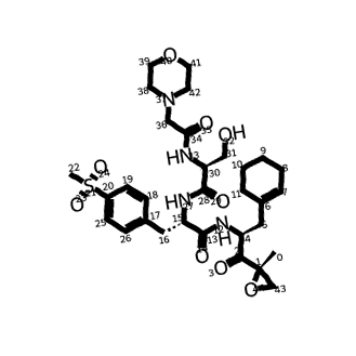 C[C@@]1(C(=O)[C@H](CC2=CCCCC2)NC(=O)[C@H](Cc2ccc(S(C)(=O)=O)cc2)NC(=O)[C@H](CO)NC(=O)CN2CCOCC2)CO1